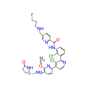 COc1nc(-c2ccnc(-c3cccc(NC(=O)c4ccc(CNCCCF)cn4)c3Cl)c2Cl)ccc1CNC[C@@H]1CCC(=O)N1